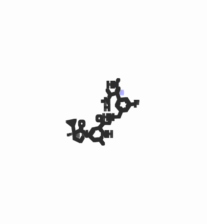 CN/C=C(/c1cc(F)cc(CNCC(=O)C2C=C(N3CC[C@@](C)(C4CC4)C3=O)C=C(C)N2)c1)C(C)NC